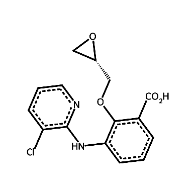 O=C(O)c1cccc(Nc2ncccc2Cl)c1OC[C@@H]1CO1